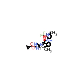 Cc1ccc(NC(=O)C2(c3ccccc3C(C)C)CN(c3cnc(OC(=O)C4CC4)nc3)C2)c(OC(F)F)n1